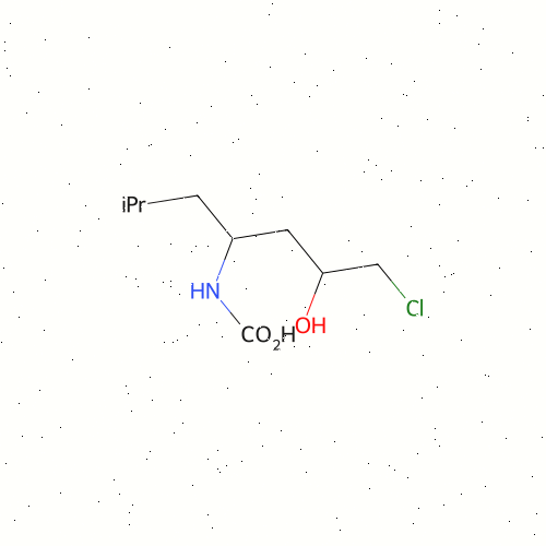 CC(C)CC(CC(O)CCl)NC(=O)O